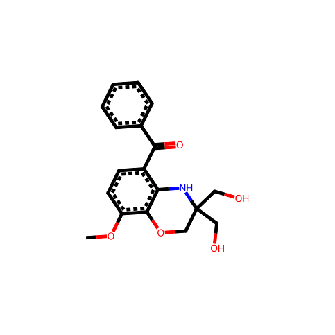 COc1ccc(C(=O)c2ccccc2)c2c1OCC(CO)(CO)N2